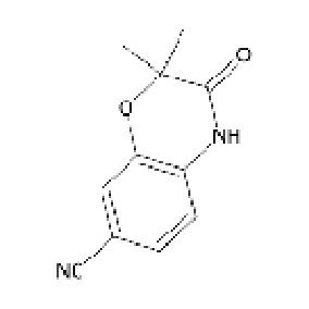 CC1(C)Oc2cc(C#N)ccc2NC1=O